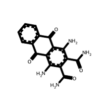 NC(=O)c1c(N)c2c(c(N)c1C(N)=O)C(=O)c1ccccc1C2=O